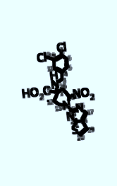 O=C(O)C1(NCc2ccc(Cl)c(Cl)c2)CCN(c2ncc3ccsc3n2)C([N+](=O)[O-])C1